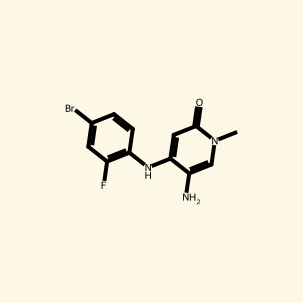 Cn1cc(N)c(Nc2ccc(Br)cc2F)cc1=O